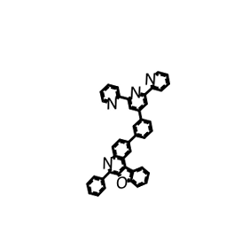 c1ccc(-c2nc3ccc(-c4cccc(-c5cc(-c6ccccn6)nc(-c6ccccn6)c5)c4)cc3c3c2oc2ccccc23)cc1